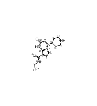 CC(C)CNC(=O)c1cnn2c(C3CCNCC3)cc(=O)[nH]c12